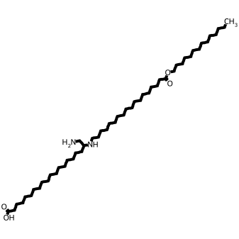 CCCCCCCCCCCCCCOC(=O)CCCCCCCCCCCCCCCCCNC(CN)CCCCCCCCCCCCCCCCCC(=O)O